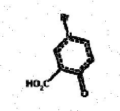 O=C(O)c1cn(Br)ccc1=O